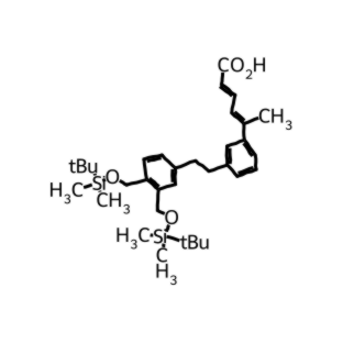 CC(=CC=CC(=O)O)c1cccc(CCc2ccc(CO[Si](C)(C)C(C)(C)C)c(CO[Si](C)(C)C(C)(C)C)c2)c1